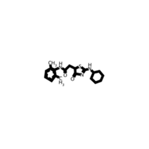 Cc1cccc(C)c1NC(=O)CC1SC(NC2CCCCC2)=NC1=O